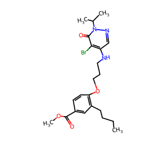 CCCCc1cc(C(=O)OC)ccc1OCCCNc1cnn(C(C)C)c(=O)c1Br